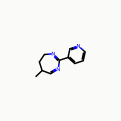 CC1C=NC(c2cccnc2)=NCC1